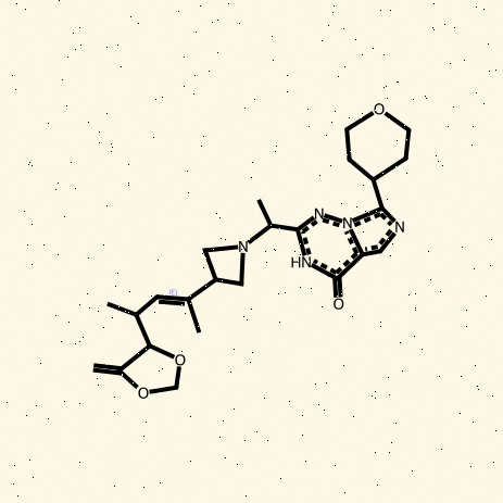 C=C1OCOC1C(C)/C=C(\C)C1CN(C(C)c2nn3c(C4CCOCC4)ncc3c(=O)[nH]2)C1